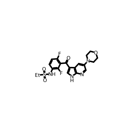 CCS(=O)(=O)Nc1ccc(F)c(C(=O)c2c[nH]c3ncc(N4CCOCC4)cc23)c1F